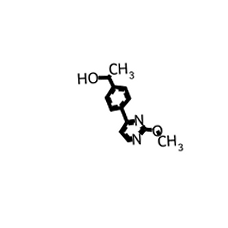 COc1nccc(-c2ccc(C(C)O)cc2)n1